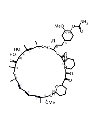 CO[C@H]1C[C@@H]2CCCC(O2)C(=O)C(=O)N2CCCC[C@H]2C(=O)OC([C@H](N)C[C@@H]2CC[C@@H](OC(N)=O)[C@H](OC)C2)CC[C@H](C)/C=C(\C)[C@@H](O)[C@@H](O)C(=O)[C@H](C)C[C@H](C)/C=C/C=C/C=C/1C